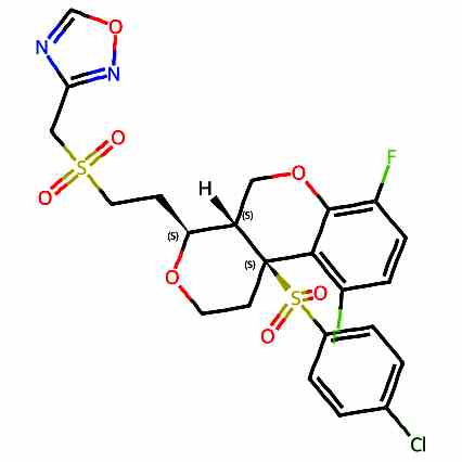 O=S(=O)(CC[C@@H]1OCC[C@@]2(S(=O)(=O)c3ccc(Cl)cc3)c3c(F)ccc(F)c3OC[C@@H]12)Cc1ncon1